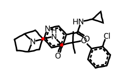 CC(C)(Oc1ccccc1Cl)C(=O)NC1CC2CCC(C1)N2c1ccc(C(=O)NC2CC2)cn1